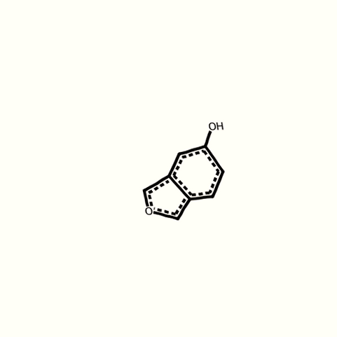 Oc1ccc2cocc2c1